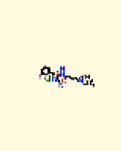 CN(C)CCCCC(=O)Nc1oc(-c2cc(I)cc(I)c2Cl)nc1C#N